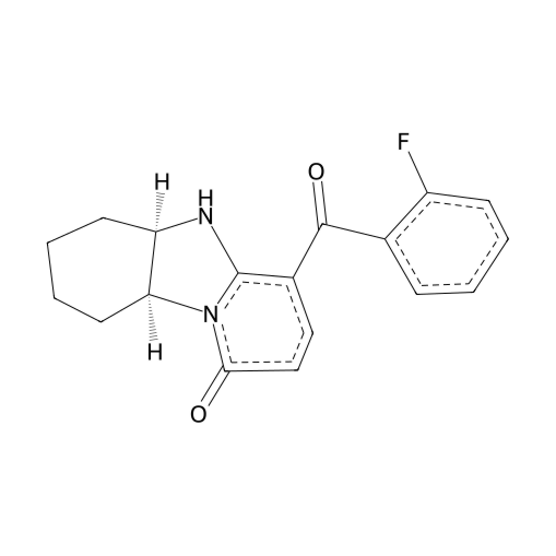 O=C(c1ccccc1F)c1ccc(=O)n2c1N[C@@H]1CCCC[C@@H]12